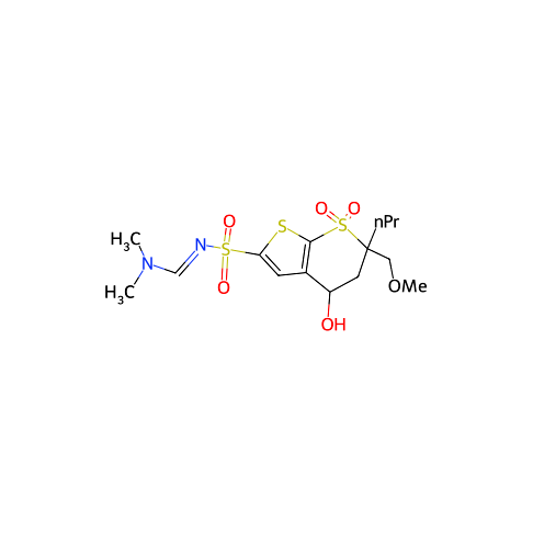 CCCC1(COC)CC(O)c2cc(S(=O)(=O)N=CN(C)C)sc2S1(=O)=O